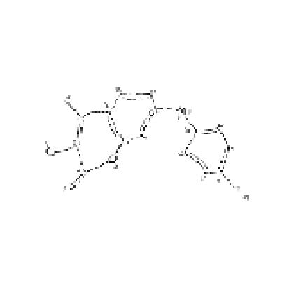 Cc1c(Cl)c(=O)oc2cc(Nc3ccc(F)cc3)ccc12